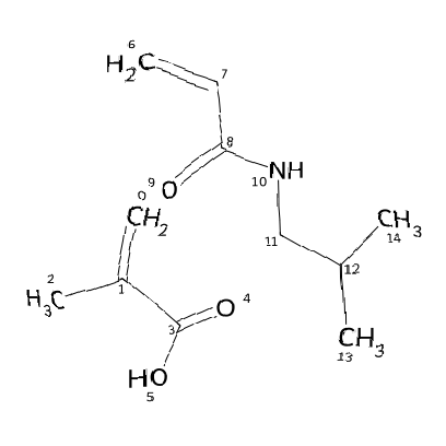 C=C(C)C(=O)O.C=CC(=O)NCC(C)C